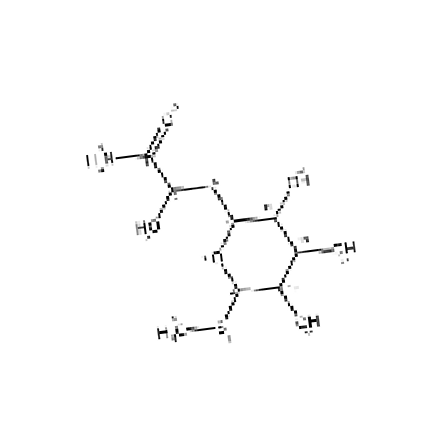 CSC1OC([CH]C(O)C(N)=O)C(O)C(O)C1O